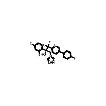 CC(F)(c1ccc(-c2ccc(F)cc2)cn1)[C@](O)(Cn1cnnn1)c1ccc(F)cc1F